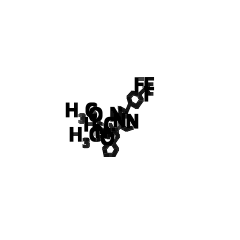 COCCN(C)C(=O)[C@@](C)(Cc1ccccc1)c1ccnc2c(-c3ccc(C(F)(F)F)cc3)cnn12